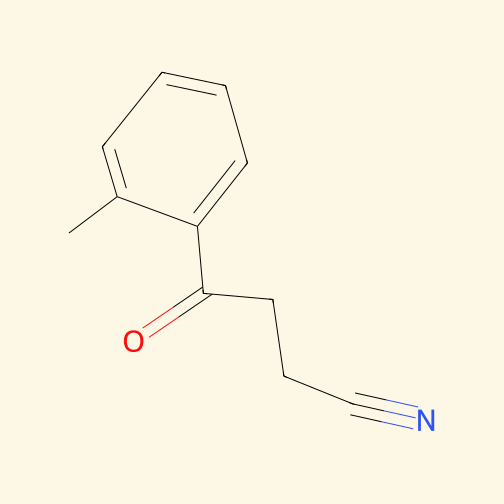 Cc1ccccc1C(=O)CCC#N